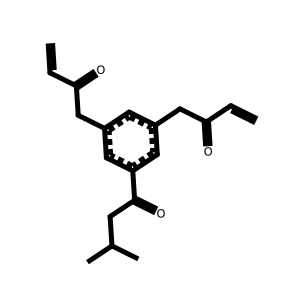 C=CC(=O)Cc1cc(CC(=O)C=C)cc(C(=O)CC(C)C)c1